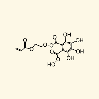 C=CC(=O)OCCOOC(=O)c1c(O)c(O)c(O)c(O)c1C(=O)OO